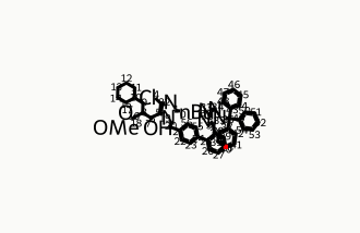 CCCCc1nc(Cl)c(C(O)C(CC2CCCCC2)C(=O)OC)n1Cc1ccc(-c2ccccc2-c2nnnn2C(c2ccccc2)(c2ccccc2)c2ccccc2)cc1